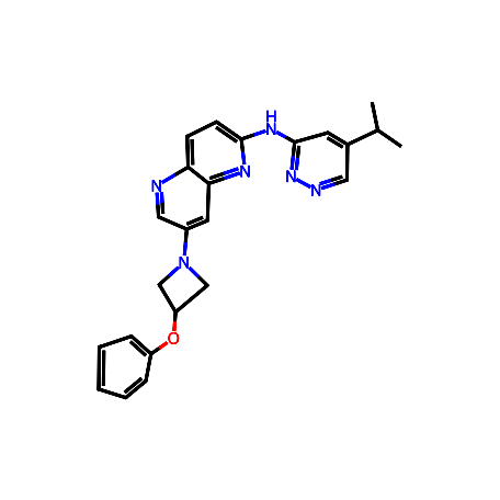 CC(C)c1cnnc(Nc2ccc3ncc(N4CC(Oc5ccccc5)C4)cc3n2)c1